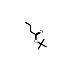 [CH2]C(C)(C)OC(=O)CCC